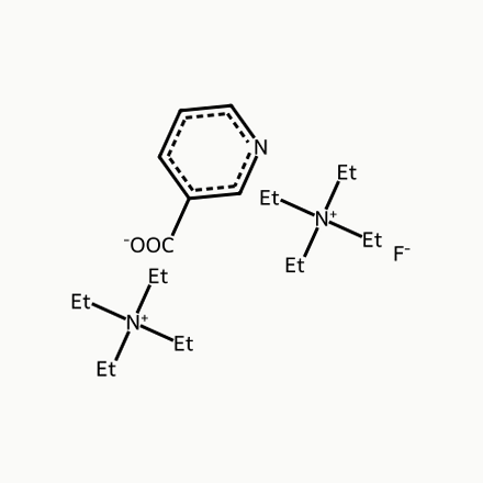 CC[N+](CC)(CC)CC.CC[N+](CC)(CC)CC.O=C([O-])c1cccnc1.[F-]